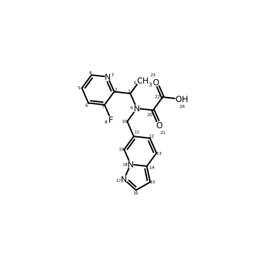 CC(c1ncccc1F)N(Cc1ccc2ccnn2c1)C(=O)C(=O)O